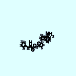 Nc1ncnn2c([C@H]3CC[C@@H](COC(=O)NCC4CCCC4)O3)ccc12